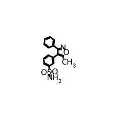 Cc1onc(-c2ccccc2)c1-c1cccc(S(N)(=O)=O)c1